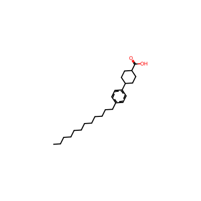 CCCCCCCCCCCCc1ccc(C2CCC(C(=O)O)CC2)cc1